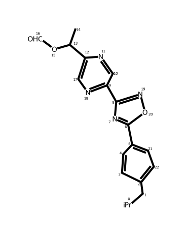 CC(C)Cc1ccc(-c2nc(-c3cnc(C(C)OC=O)cn3)no2)cc1